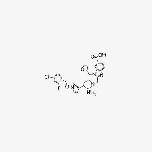 N.O=C(O)c1ccc2nc(CN3CCC(c4ccn(OCc5ccc(Cl)cc5F)n4)CC3)n(C[C@@H]3CCO3)c2c1